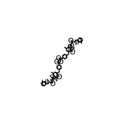 Cc1cc(Cc2ccc(C(=O)OC(=O)c3ccc(Cc4cc(C)c5sc(C(=O)NCc6ccccc6)nn5c4=O)cc3)cc2)c(=O)n2c1CC(C(=O)NCc1ccccc1)=N2